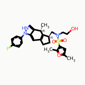 Cc1cc(S(=O)(=O)N(CCO)C[C@H]2CCC3=C2[C@@H](C)C2=CNN(c4ccc(F)cc4)C2=C3)c(C)o1